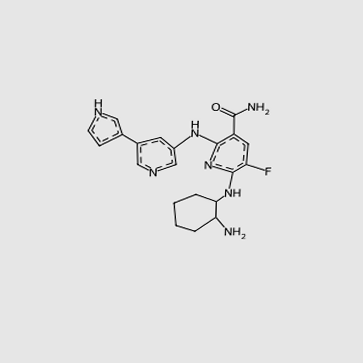 NC(=O)c1cc(F)c(NC2CCCCC2N)nc1Nc1cncc(-c2cc[nH]c2)c1